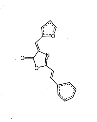 O=C1OC(/C=C/c2ccccc2)=NC/1=C\c1ccco1